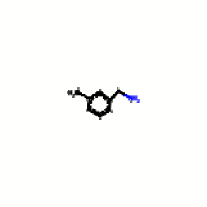 NCc1cccc([SiH2])c1